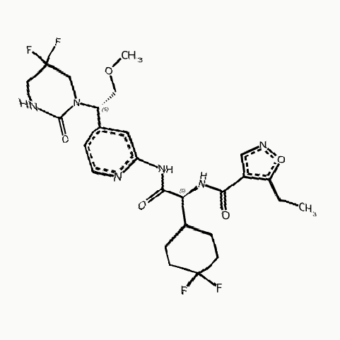 CCc1oncc1C(=O)N[C@H](C(=O)Nc1cc([C@@H](COC)N2CC(F)(F)CNC2=O)ccn1)C1CCC(F)(F)CC1